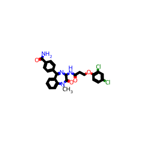 CN1C(=O)C(NC(=O)CCOc2ccc(Cl)cc2Cl)N=C(c2ccc(C(N)=O)cc2)c2ccccc21